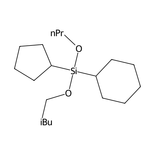 CCCO[Si](OCC(C)CC)(C1CCCCC1)C1CCCC1